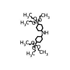 CCO[Si](OCC)(OCC)C1CCC(NC2CCC([Si](OCC)(OCC)OCC)CC2)CC1